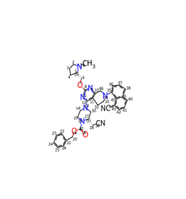 CN1CCC[C@H]1COc1nc2c(c(N3CCN(C(=O)OCc4ccccc4)[C@@H](CC#N)C3)n1)CCN(c1cccc3cccc(C#N)c13)C2